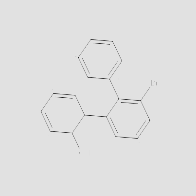 CC1C=CC=CC1c1cccc(Br)c1-c1ccccc1